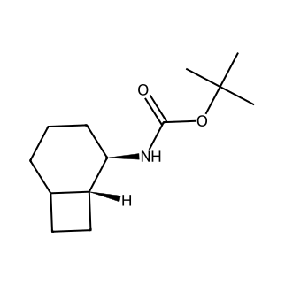 CC(C)(C)OC(=O)N[C@@H]1CCCC2CC[C@H]21